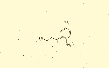 NCCNc1cc(N)ccc1N